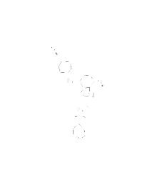 COc1ccc(S(=O)(=O)NC(=O)c2cc3c(Nc4ccc(C#N)cc4)ccc([N+](=O)[O-])c3[nH]2)cc1